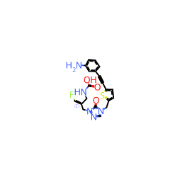 Nc1cccc(C#Cc2ccc(Cn3cnn(C/C(=C/F)CNC(=O)O)c3=O)s2)c1